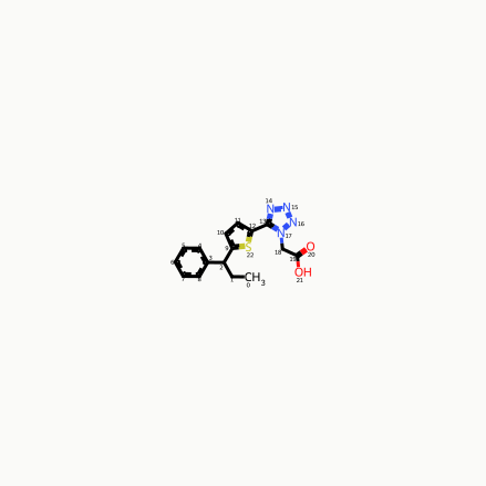 CCC(c1ccccc1)c1ccc(-c2nnnn2CC(=O)O)s1